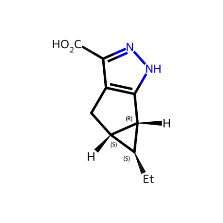 CC[C@H]1[C@@H]2Cc3c(C(=O)O)n[nH]c3[C@H]12